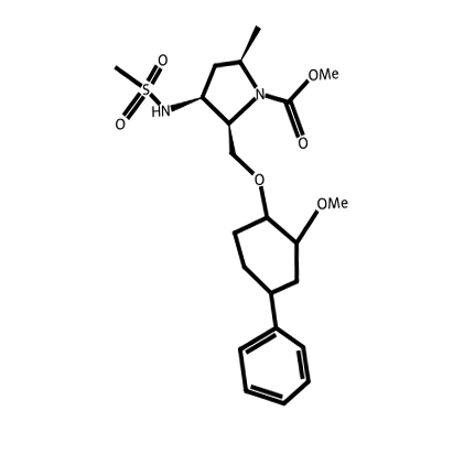 COC(=O)N1[C@H](C)C[C@H](NS(C)(=O)=O)[C@@H]1COC1CCC(c2ccccc2)CC1OC